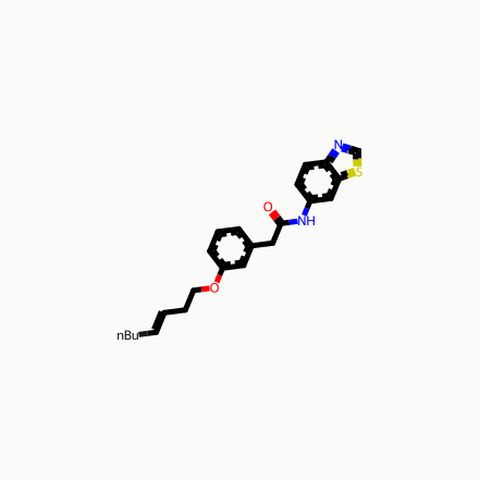 CCCCC=CCCOc1cccc(CC(=O)Nc2ccc3ncsc3c2)c1